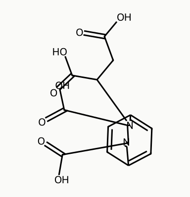 O=C(O)CC(C(=O)O)N1c2ccc(cc2)N=C(C(=O)O)C1C(=O)O